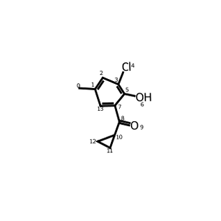 Cc1cc(Cl)c(O)c(C(=O)C2CC2)c1